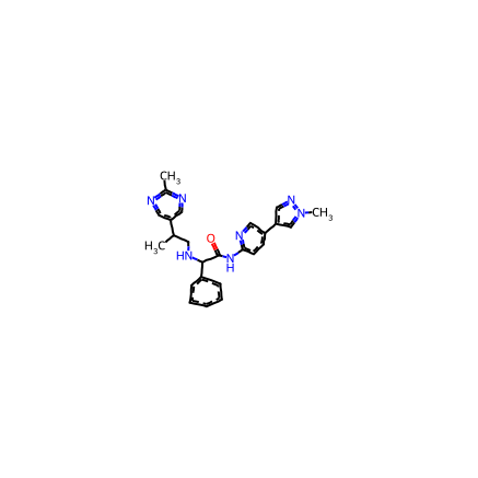 Cc1ncc(C(C)CNC(C(=O)Nc2ccc(-c3cnn(C)c3)cn2)c2ccccc2)cn1